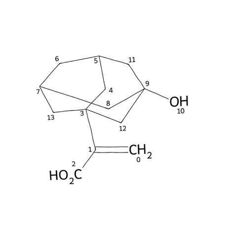 C=C(C(=O)O)C12CC3CC(CC(O)(C3)C1)C2